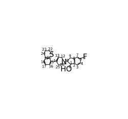 O[C@@H]1c2ccc(F)cc2C[C@H]1N1CC=C(c2cccc3c2SCCC3)CC1